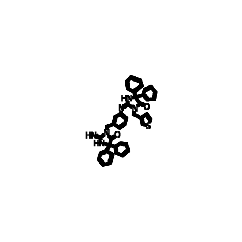 N=C1NC(c2ccccc2)(c2ccccc2)C(=O)N1Cc1cccc(N=C2NC(c3ccccc3)(c3ccccc3)C(=O)N2Cc2ccsc2)c1